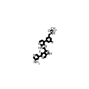 CS(=O)(=O)NCc1cc(F)cc(-c2ccnc3[nH]c(-c4n[nH]c5cnc(-c6cncc(N)c6)c(F)c45)nc23)c1